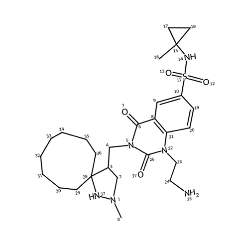 CN1CC(Cn2c(=O)c3cc(S(=O)(=O)NC4(C)CC4)ccc3n(CCN)c2=O)C2(CCCCCCCC2)N1